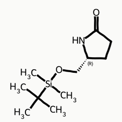 CC(C)(C)[Si](C)(C)OC[C@H]1CCC(=O)N1